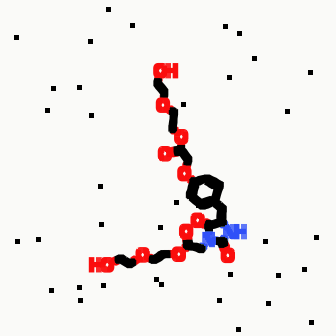 O=C(COc1ccc(C=C2NC(=O)N(CC(=O)OCCOCCO)C2=O)cc1)OCCOCCO